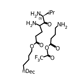 CCCCCCCCCCCCCCOC(=O)CCC(N)C(=O)[C@@H](N)C(C)C.NCCCC(=O)OC(=O)C(F)(F)F